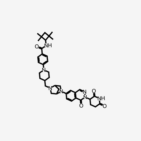 CC1(C)CC(C)(C)C1NC(=O)c1ccc(N2CCC(CN3CC4CC3CN4c3ccc4c(=O)n(C5CCC(=O)NC5=O)ncc4c3)CC2)cc1